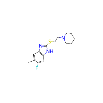 Cc1cc2nc(SCCN3CCCCC3)[nH]c2cc1F